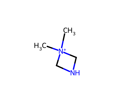 C[N+]1(C)CNC1